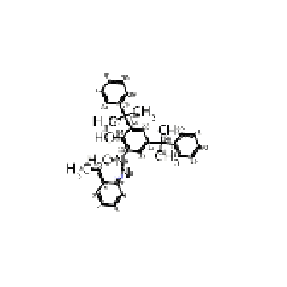 CC=C1C=CC=C/C1=N/N(C)c1cc(C(C)(C)c2ccccc2)cc(C(C)(C)c2ccccc2)c1O